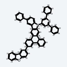 c1ccc(-c2ccc3c(c2)c2cc4c5ccc(-c6ccc7oc8ccccc8c7c6)cc5c5ccccc5c4cc2n3-c2cc(-c3ccccc3)nc(-c3ccccc3)c2)cc1